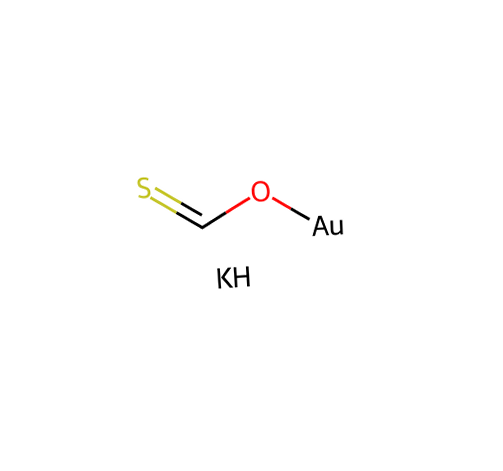 S=C[O][Au].[KH]